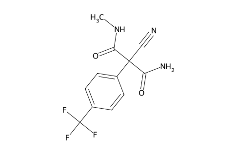 CNC(=O)C(C#N)(C(N)=O)c1ccc(C(F)(F)F)cc1